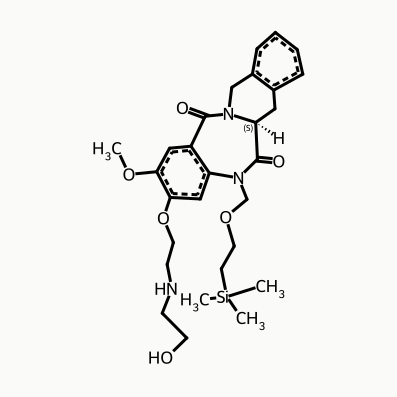 COc1cc2c(cc1OCCNCCO)N(COCC[Si](C)(C)C)C(=O)[C@@H]1Cc3ccccc3CN1C2=O